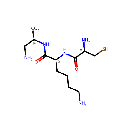 NCCCC[C@H](NC(=O)[C@@H](N)CS)C(=O)N[C@@H](CN)C(=O)O